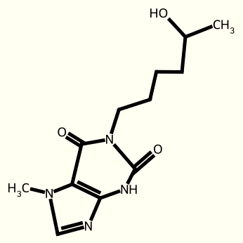 CC(O)CCCCn1c(=O)[nH]c2ncn(C)c2c1=O